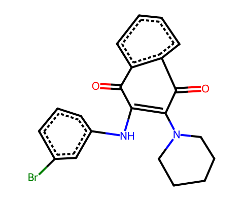 O=C1C(Nc2cccc(Br)c2)=C(N2CCCCC2)C(=O)c2ccccc21